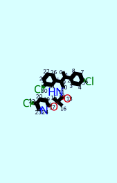 CC(c1ccc(Cl)cc1)C(CNC(=O)C(C)(C)Oc1ccc(Cl)cn1)c1cccc(Cl)c1